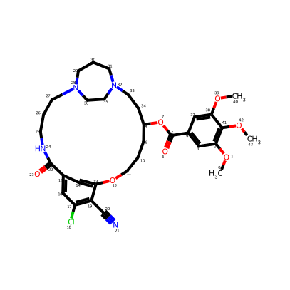 COc1cc(C(=O)OC2CCCOc3cc(cc(Cl)c3C#N)C(=O)NCCCN3CCCN(CC2)CC3)cc(OC)c1OC